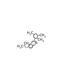 Cc1cc(C)c(C)c(-c2cc3cc(CC(C)C)ccc3cn2)c1